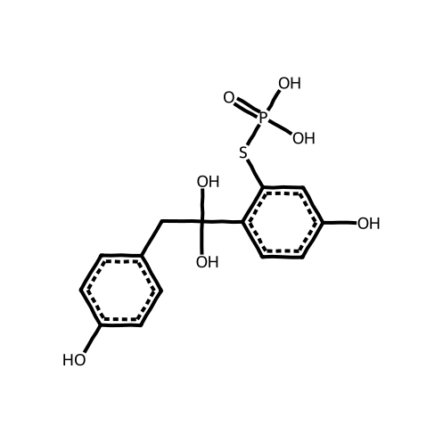 O=P(O)(O)Sc1cc(O)ccc1C(O)(O)Cc1ccc(O)cc1